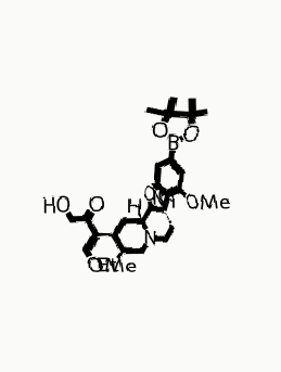 CC[C@@H]1CN2CC[C@@]34OCCO[C@@]3(Nc3cc(B5OC(C)(C)C(C)(C)O5)cc(OC)c34)[C@@H]2C[C@@H]1/C(=C\OC)C(=O)CO